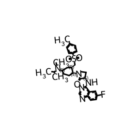 Cc1ccc(S(=O)(=O)C[C@@H]2C[C@H](N(C)C(C)C)CC[C@@H]2N2CC[C@H](Nc3ncnc4ccc(F)cc34)C2=O)cc1